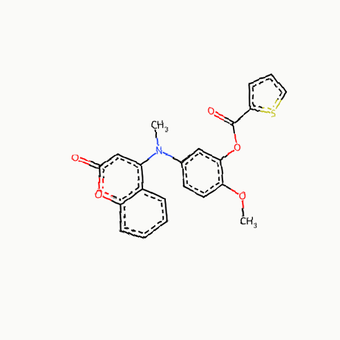 COc1ccc(N(C)c2cc(=O)oc3ccccc23)cc1OC(=O)c1cccs1